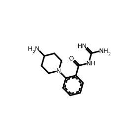 N=C(N)NC(=O)c1ccccc1N1CCC(N)CC1